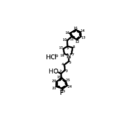 Cl.OC(CCCN1CCC(Cc2ccccc2)CC1)c1ccc(F)cc1